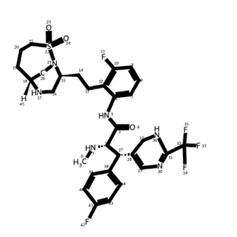 CN[C@H](C(=O)Nc1cccc(F)c1CC[C@H]1CN[C@@H]2CCCS(=O)(=O)N1C2)[C@H](C1=CN=C(C(F)(F)F)NC1)c1ccc(F)cc1